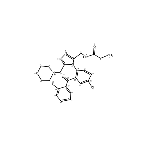 NCC(=O)NCc1nnc(CN2CCOCC2)n1-c1ccc(Cl)cc1C(=O)c1ccccc1F